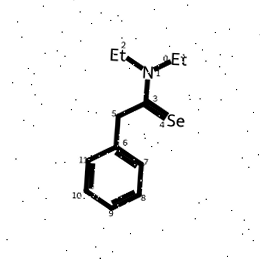 CCN(CC)C(=[Se])Cc1ccccc1